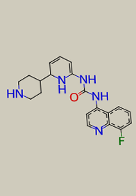 O=C(NC1=CC=CC(C2CCNCC2)N1)Nc1ccnc2c(F)cccc12